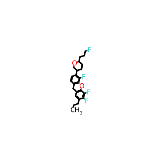 CCCc1cc2c(c(F)c1F)Oc1c(ccc(C3CCC(CCCF)OC3)c1F)C2